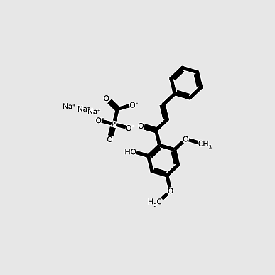 COc1cc(O)c(C(=O)C=Cc2ccccc2)c(OC)c1.O=C([O-])P(=O)([O-])[O-].[Na+].[Na+].[Na+]